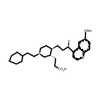 COc1ccc2nccc([C@H](F)CC[C@@H]3CCN(CCC4CCCCC4)C[C@H]3CCC(=O)O)c2c1